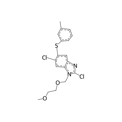 COCCOCn1c(Cl)nc2cc(Sc3cccc(C)c3)c(Cl)cc21